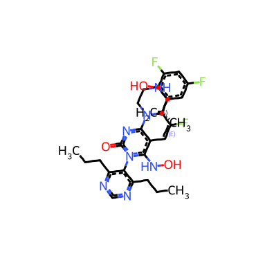 C=C(/C(F)=C\c1c(N2CCNC[C@@H]2C)nc(=O)n(-c2c(CCC)ncnc2CCC)c1NO)c1cc(F)cc(F)c1O